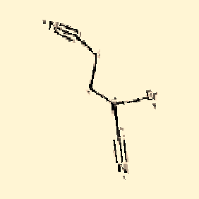 N#CCCC(Br)C#N